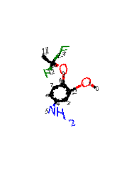 COc1cc(N)ccc1OC(C)(F)F